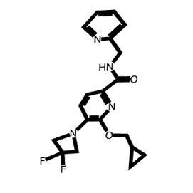 O=C(NCc1ccccn1)c1ccc(N2CC(F)(F)C2)c(OCC2CC2)n1